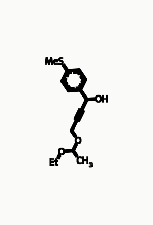 CCOC(C)OCC#CC(O)c1ccc(SC)cc1